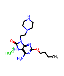 CCCCOc1nc(N)c2[nH]c(=O)n(CCN3CCNCC3)c2n1.Cl.Cl